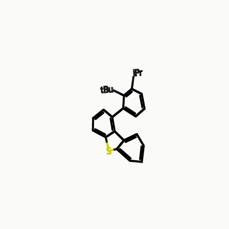 CC(C)c1cccc(-c2cccc3sc4ccccc4c23)c1C(C)(C)C